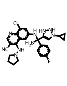 BC(Nc1cc(Cl)c2ncc(C#N)c(NN3CCCC3)c2c1)(C1=CN(C2CC2)NN1)c1ccc(F)cc1